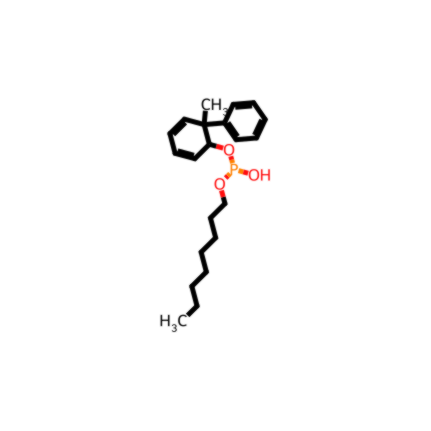 CCCCCCCCOP(O)OC1C=CC=CC1(C)c1ccccc1